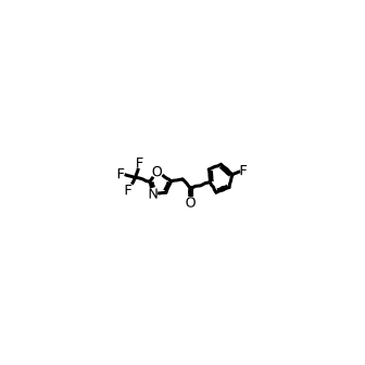 O=C(Cc1cnc(C(F)(F)F)o1)c1ccc(F)cc1